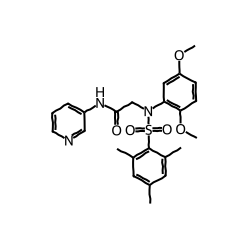 COc1ccc(OC)c(N(CC(=O)Nc2cccnc2)S(=O)(=O)c2c(C)cc(C)cc2C)c1